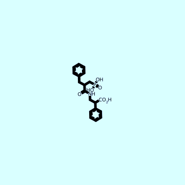 O=C(NCC(C(=O)O)c1ccccc1)C(Cc1ccccc1)CP(=O)(O)O